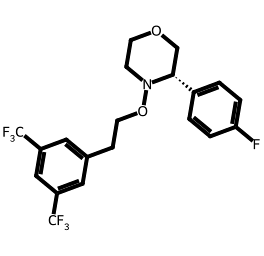 Fc1ccc([C@H]2COCCN2OCCc2cc(C(F)(F)F)cc(C(F)(F)F)c2)cc1